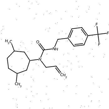 C=CCN(C(=O)NCc1ccc(C(F)(F)F)cc1)C1CC(C)CCC(C)C1